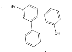 CC(C)c1cccc(-c2ccccc2)c1.Oc1ccccc1